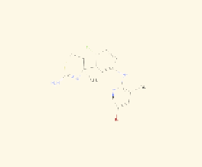 COc1cc(Br)cnc1Nc1ccc(F)c([C@]2(C)CCSC(N)=N2)c1